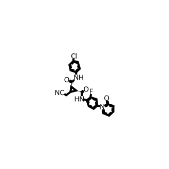 N#CCC1[C@@H](C(=O)Nc2ccc(-n3ccccc3=O)cc2F)[C@H]1C(=O)Nc1ccc(Cl)cc1